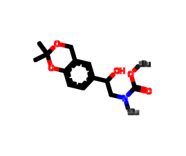 CC(C)(C)OC(=O)N(CC(O)c1ccc2c(c1)COC(C)(C)O2)C(C)(C)C